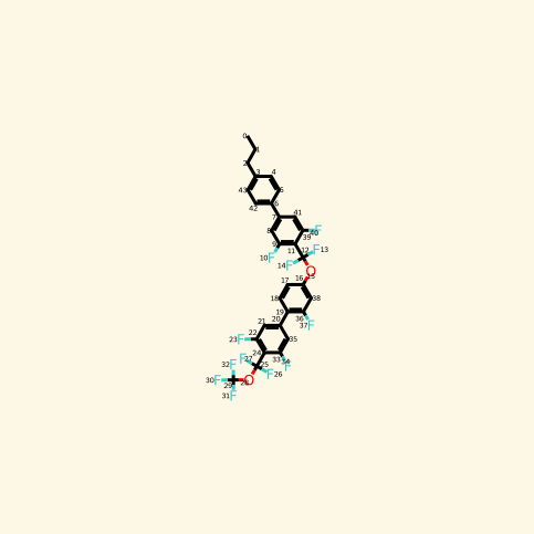 CCCc1ccc(-c2cc(F)c(C(F)(F)Oc3ccc(-c4cc(F)c(C(F)(F)OC(F)(F)F)c(F)c4)c(F)c3)c(F)c2)cc1